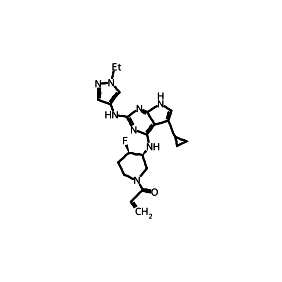 C=CC(=O)N1CC[C@@H](F)[C@@H](Nc2nc(Nc3cnn(CC)c3)nc3[nH]cc(C4CC4)c23)C1